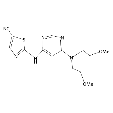 COCCN(CCOC)c1cc(Nc2ncc(C#N)s2)ncn1